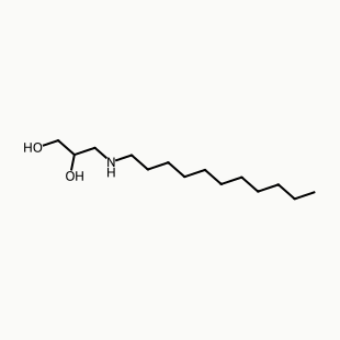 CCCCCCCCCCCNCC(O)CO